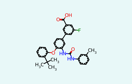 Cc1cccc(NC(=O)Nc2cc(-c3cc(F)cc(C(=O)O)c3)ccc2Oc2ccccc2C(C)(C)C)c1